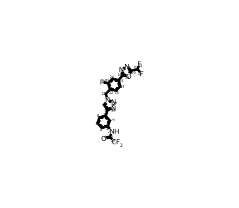 O=C(Nc1cccc(-c2cn(Cc3ccc(-c4nnc(C(F)F)o4)cc3F)nn2)c1)C(F)(F)F